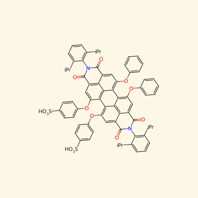 CC(C)c1cccc(C(C)C)c1N1C(=O)c2cc(Oc3ccccc3)c3c4c(Oc5ccccc5)cc5c6c(cc(Oc7ccc(S(=O)(=O)O)cc7)c(c7c(Oc8ccc(S(=O)(=O)O)cc8)cc(c2c37)C1=O)c64)C(=O)N(c1c(C(C)C)cccc1C(C)C)C5=O